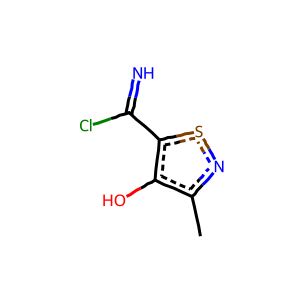 Cc1nsc(C(=N)Cl)c1O